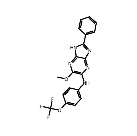 COc1nc2[nH]c(-c3ccccc3)nc2nc1Nc1ccc(OC(F)(F)F)cc1